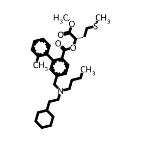 CCCCN(CCC1CCCCC1)Cc1ccc(C(=O)O[C@@H](CCSC)C(=O)OC)c(-c2ccccc2C)c1